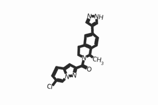 CC1c2ccc(-c3cn[nH]c3)cc2CCN1C(=O)c1cc2ccc(Cl)cn2n1